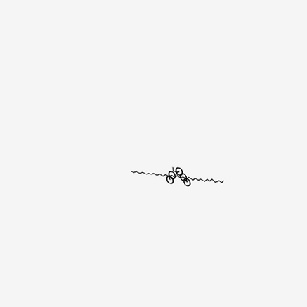 CCCCCCCCCCCCCC(=O)OCC(COC(=O)CCCCCCCCCCCCC)C(=O)CC